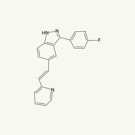 Fc1ccc(-c2n[nH]c3ccc(/C=C/c4ccccn4)cc23)cc1